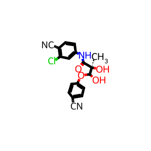 C[C@@](O)(C(=O)Nc1ccc(C#N)c(Cl)c1)C(O)Oc1ccc(C#N)cc1